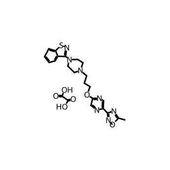 Cc1nc(-c2cnc(OCCCN3CCN(c4nsc5ccccc45)CC3)cn2)no1.O=C(O)C(=O)O